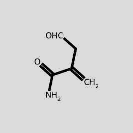 C=C(CC=O)C(N)=O